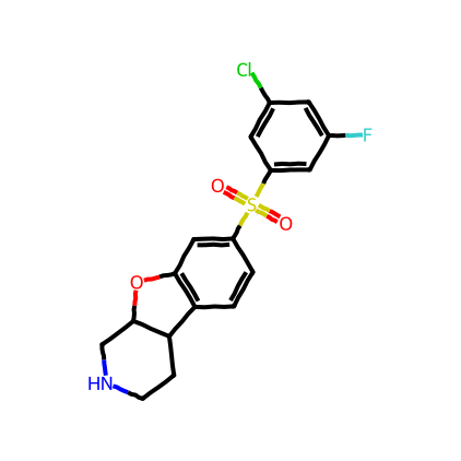 O=S(=O)(c1cc(F)cc(Cl)c1)c1ccc2c(c1)OC1CNCCC21